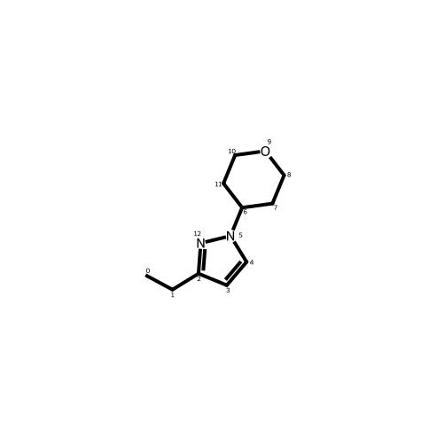 CCc1ccn(C2CCOCC2)n1